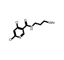 CSCCCNC(=O)c1cnc(Cl)cc1Cl